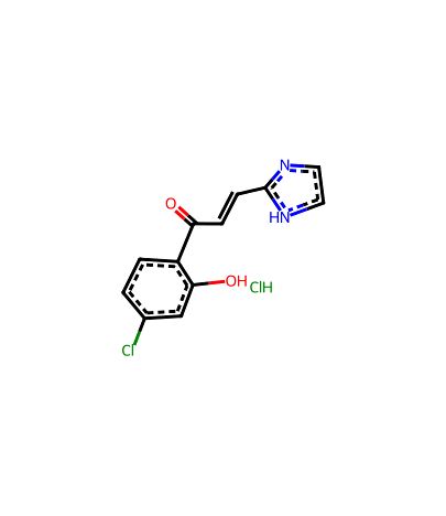 Cl.O=C(/C=C/c1ncc[nH]1)c1ccc(Cl)cc1O